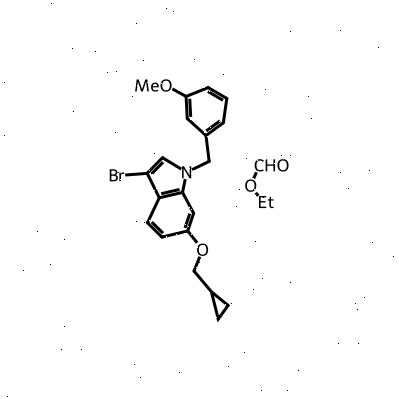 CCOC=O.COc1cccc(Cn2cc(Br)c3ccc(OCC4CC4)cc32)c1